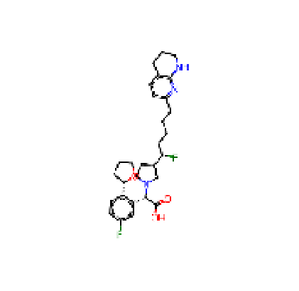 O=C(O)[C@H](c1cc(F)ccc1[C@@H]1CCCO1)N1CC[C@@H]([C@H](F)CCCCc2ccc3c(n2)NCCC3)C1